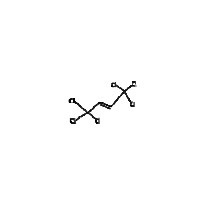 ClC(Cl)(Cl)/C=C/C(Cl)(Cl)Cl